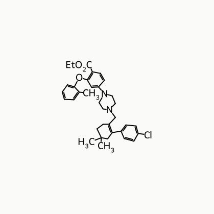 CCOC(=O)c1ccc(N2CCN(CC3=C(c4ccc(Cl)cc4)CC(C)(C)CC3)CC2)cc1Oc1ccccc1C